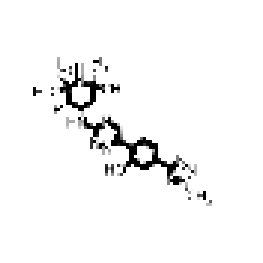 Cn1nnc(-c2ccc(-c3cnc(N[C@H]4CC(C)(C)NC(C)(C)[C@H]4F)nn3)c(O)c2)n1